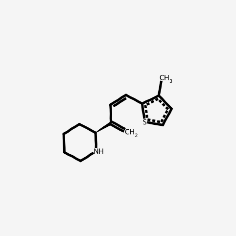 C=C(/C=C\c1sccc1C)[C@@H]1CCCCN1